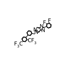 Fc1cccc(-c2nc3cnn(Cc4cccc(-c5ccc(C(F)(F)F)cc5C(F)(F)F)c4)cc-3n2)c1F